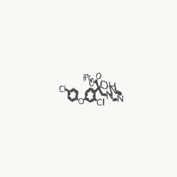 CC(C)OC(=O)C(O)(Cn1cncn1)c1ccc(Oc2ccc(Cl)cc2)cc1Cl